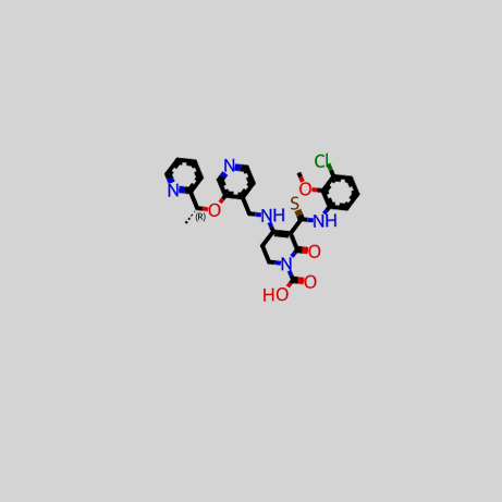 COc1c(Cl)cccc1NC(=S)C1=C(NCc2ccncc2O[C@H](C)c2ccccn2)CCN(C(=O)O)C1=O